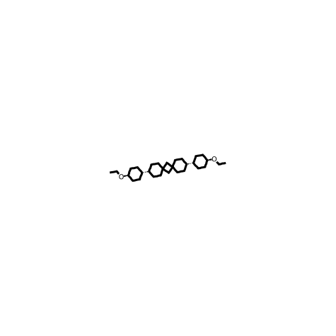 CCO[C@H]1CC[C@H](C2CCC3(CC2)CC2(CCC([C@H]4CC[C@H](OCC)CC4)CC2)C3)CC1